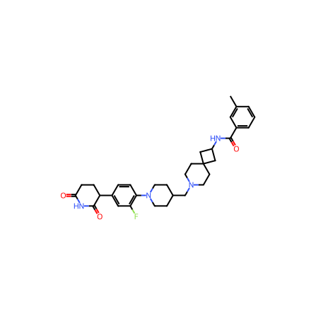 Cc1cccc(C(=O)NC2CC3(CCN(CC4CCN(c5ccc(C6CCC(=O)NC6=O)cc5F)CC4)CC3)C2)c1